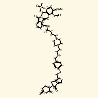 CCOc1cc([C@@H](CS(C)(=O)=O)N2C(=O)c3cccc(NC(=O)CCCN4CCN(CCNCc5ccc(OCc6scc7c6CN(C6CCC(=O)NC6=O)C7=O)cc5)CC4)c3C2=O)ccc1OC